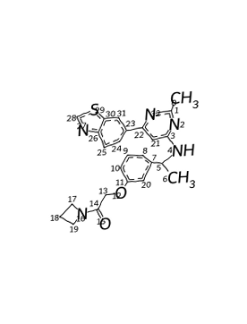 Cc1nc(NC(C)c2cccc(OCC(=O)N3CCC3)c2)cc(-c2ccc3ncsc3c2)n1